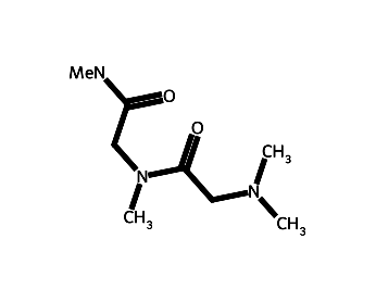 CNC(=O)CN(C)C(=O)CN(C)C